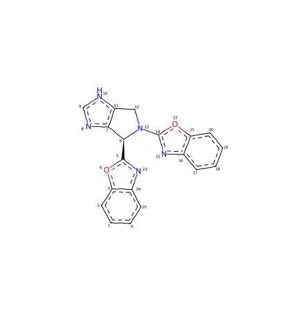 c1ccc2oc([C@H]3c4nc[nH]c4CN3c3nc4ccccc4o3)nc2c1